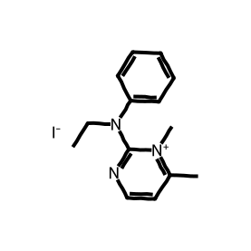 CCN(c1ccccc1)c1nccc(C)[n+]1C.[I-]